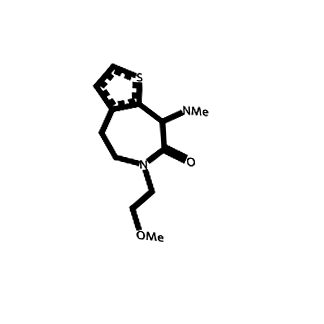 CNC1C(=O)N(CCOC)CCc2ccsc21